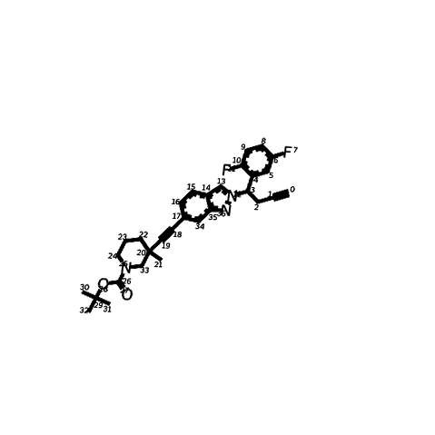 C#CCC(c1cc(F)ccc1F)n1cc2ccc(C#CC3(C)CCCN(C(=O)OC(C)(C)C)C3)cc2n1